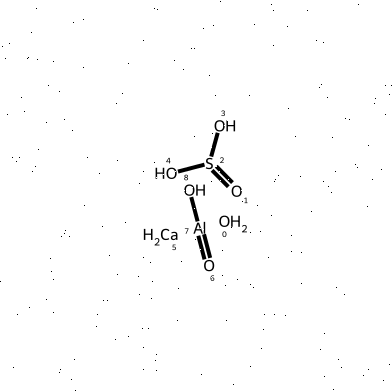 O.O=S(O)O.[CaH2].[O]=[Al][OH]